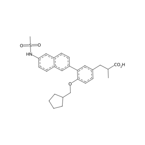 CC(Cc1ccc(OCC2CCCC2)c(-c2ccc3cc(NS(C)(=O)=O)ccc3c2)c1)C(=O)O